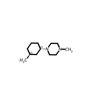 C[C@H]1CCC[C@H](N2CCN(C)CC2)C1